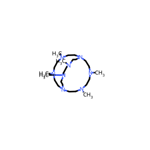 CN1CCN(C)CCN2CCN(C)CCN(C)CCN(CC1)CCN(C)CCN(C)CC2